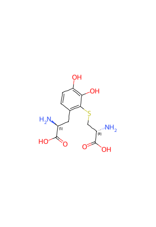 N[C@@H](CSc1c(C[C@H](N)C(=O)O)ccc(O)c1O)C(=O)O